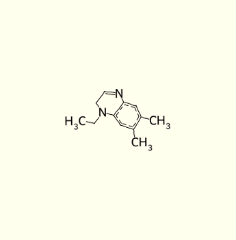 CCN1CC=Nc2cc(C)c(C)cc21